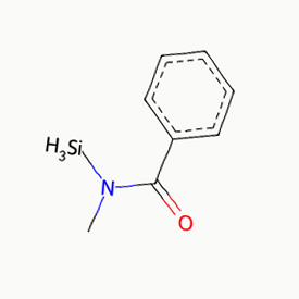 CN([SiH3])C(=O)c1ccccc1